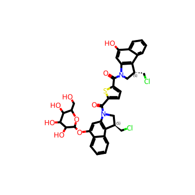 O=C(c1ccc(C(=O)N2C[C@@H](CCl)c3c2cc(OC2OC(CO)C(O)C(O)C2O)c2ccccc32)s1)N1C[C@@H](CCl)c2c1cc(O)c1ccccc21